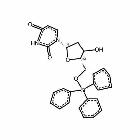 O=c1ccn([C@@H]2CC(O)[C@H](CO[Si](c3ccccc3)(c3ccccc3)c3ccccc3)O2)c(=O)[nH]1